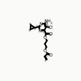 C=CC(=O)OCCCOC(=O)c1nc(C2CC2)nc(N)c1Cl